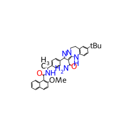 COc1ccc2ccccc2c1C(=O)N[C@H](C)c1ccc(-c2nn3c(c2C(N)=O)Nc2ccc(C(C)(C)C)cc2CC3)cc1